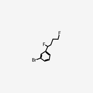 FCCCC(F)c1cccc(Br)c1